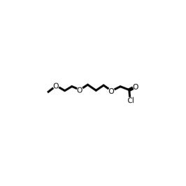 COCCOCCCOCC(=O)Cl